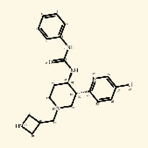 O=C(Nc1ccccc1)N[C@@H]1CCN(CC2CNC2)C[C@H]1c1ccc(Cl)cn1